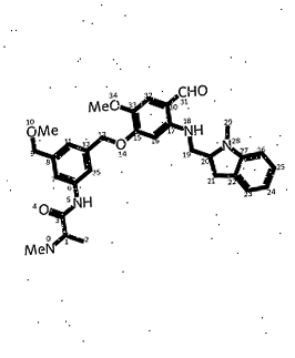 CNC(C)C(=O)Nc1cc(COC)cc(COc2cc(NCC3Cc4ccccc4N3C)c(C=O)cc2OC)c1